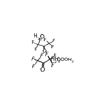 O.O.O.O.O=C(C(F)(F)F)C(F)(F)F.O=C(C(F)(F)F)C(F)(F)F